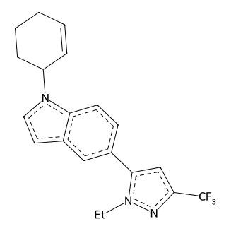 CCn1nc(C(F)(F)F)cc1-c1ccc2c(ccn2C2C=CCCC2)c1